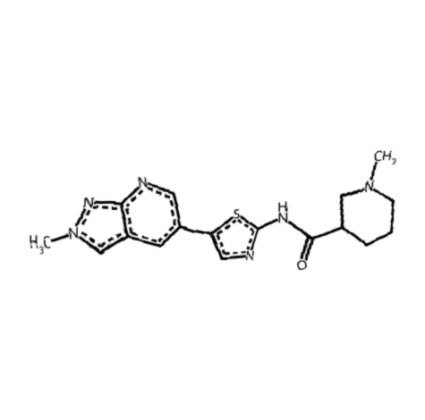 CN1CCCC(C(=O)Nc2ncc(-c3cnc4nn(C)cc4c3)s2)C1